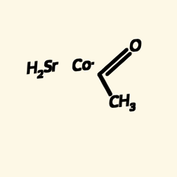 CC=O.[Co].[SrH2]